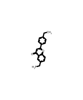 CCc1ccc(-c2cc(=O)c3cc(CP)ccc3o2)cc1